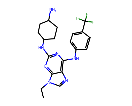 CCn1cnc2c(Nc3ccc(C(F)(F)F)cc3)nc(NC3CCC(N)CC3)nc21